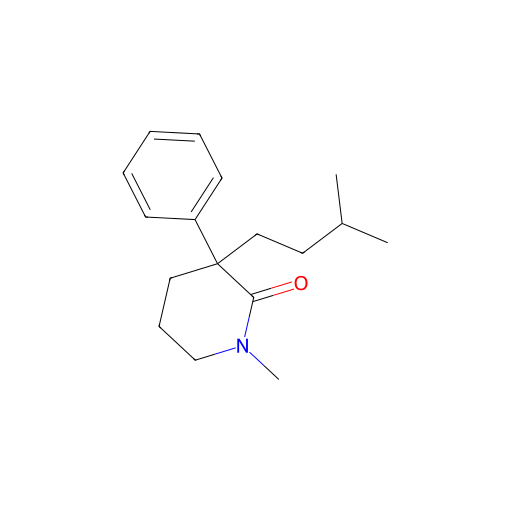 CC(C)CCC1(c2ccccc2)CCCN(C)C1=O